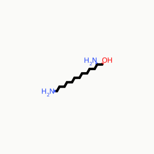 NCCCCCCCCCCCC(N)CO